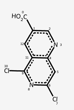 O=C(O)c1cnc2cc(Cl)nc(Cl)c2c1